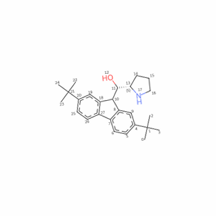 CC(C)(C)c1ccc2c(c1)C(C(O)[C@@H]1CCCN1)c1cc(C(C)(C)C)ccc1-2